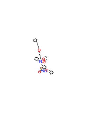 O=c1[nH]c2c(OCc3ccccc3)ccc(CC(OC3CCCCO3)N(CCCCCCOCCCCc3ccccc3)Cc3ccccc3)c2s1